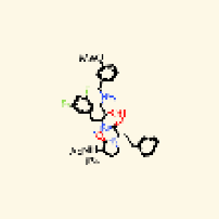 CC[C@H](C)[C@@]1(NC(C)=O)CCN([C@@H](CCc2ccccc2)C(=O)NC(Cc2cc(F)cc(F)c2)C(O)CNCc2cccc(OC)c2)C1=O